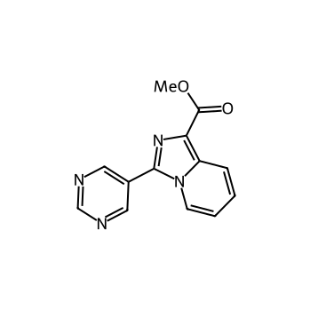 COC(=O)c1nc(-c2cncnc2)n2ccccc12